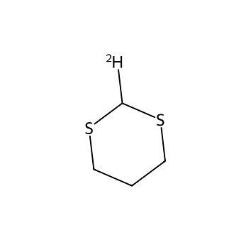 [2H]C1SCCCS1